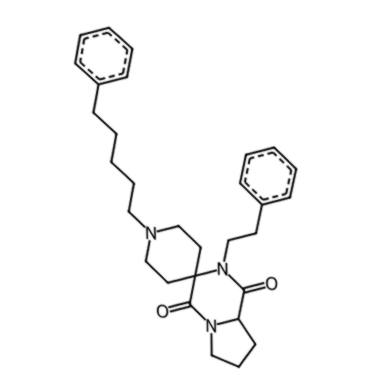 O=C1C2CCCN2C(=O)C2(CCN(CCCCCc3ccccc3)CC2)N1CCc1ccccc1